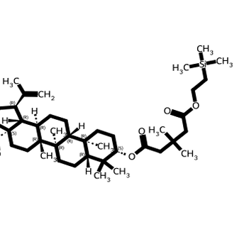 C=C(C)[C@@H]1CC[C@]2(C=O)CC[C@]3(C)[C@H](CC[C@@H]4[C@@]5(C)CC[C@H](OC(=O)CC(C)(C)CC(=O)OCC[Si](C)(C)C)C(C)(C)[C@@H]5CC[C@]43C)[C@@H]12